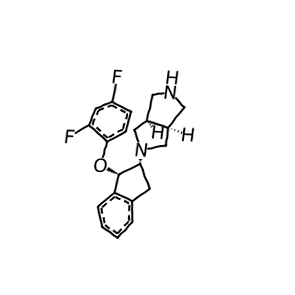 Fc1ccc(O[C@@H]2c3ccccc3C[C@H]2N2C[C@H]3CNC[C@H]3C2)c(F)c1